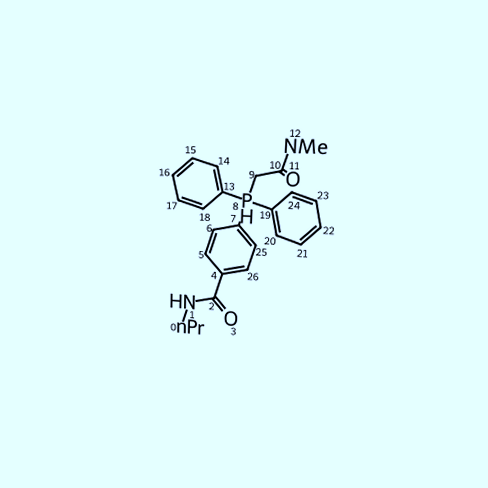 CCCNC(=O)c1ccc([PH](CC(=O)NC)(c2ccccc2)c2ccccc2)cc1